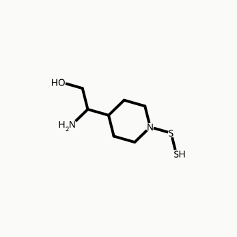 NC(CO)C1CCN(SS)CC1